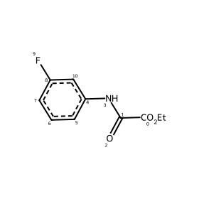 CCOC(=O)C(=O)Nc1cccc(F)c1